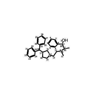 C[C@H]([C@H](O)c1ccccc1)N(C)CCN1CCC(C(c2ccccc2)c2ccccc2)C1